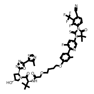 Cc1cc(OCCCCOCC(=O)N[C@H](C(=O)N2C[C@H](O)C[C@H]2c2nnc(-c3scnc3C)o2)C(C)(C)C)ccc1-c1ncc(N2C(=S)N(c3ccc(C#N)c(C(F)(F)F)c3F)C(=O)C2(C)C)cc1F